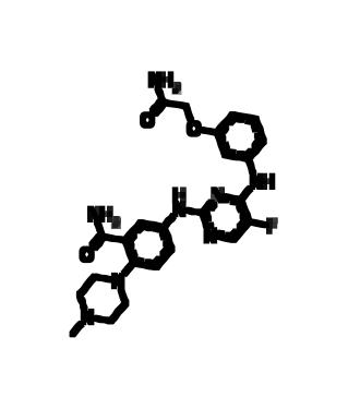 CN1CCN(c2ccc(Nc3ncc(F)c(Nc4cccc(OCC(N)=O)c4)n3)cc2C(N)=O)CC1